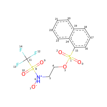 O=S(=O)(OCC[NH+]([O-])S(=O)(=O)C(F)(F)F)c1cccc2ccccc12